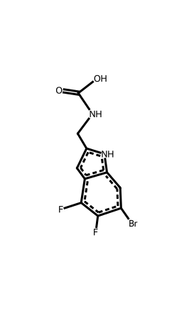 O=C(O)NCc1cc2c(F)c(F)c(Br)cc2[nH]1